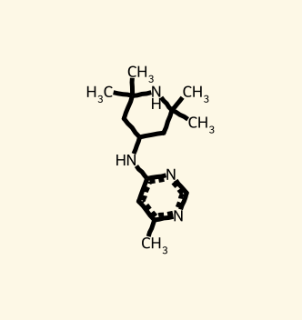 Cc1cc(NC2CC(C)(C)NC(C)(C)C2)ncn1